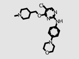 CN1CCC(COc2nc(Nc3ccc(N4CCOCC4)cc3)ncc2Cl)CC1